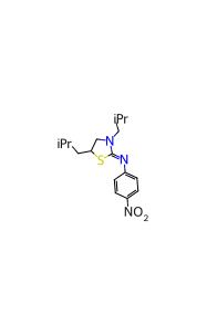 CC(C)CC1CN(CC(C)C)/C(=N/c2ccc([N+](=O)[O-])cc2)S1